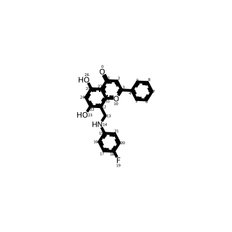 O=c1cc(-c2ccccc2)oc2c(CNc3ccc(F)cc3)c(O)cc(O)c12